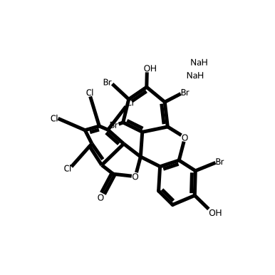 O=C1OC2(c3ccc(O)c(Br)c3Oc3c(Br)c(O)c(Br)c(Br)c32)c2c(Cl)c(Cl)c(Cl)c(Cl)c21.[NaH].[NaH]